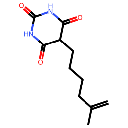 C=C(C)CCCCC1C(=O)NC(=O)NC1=O